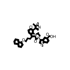 Cc1nn(C)c(C)c1-c1c(Cl)ccc2c(CCCOc3cccc4ccccc34)c3n(c12)C(C)CN(c1cn(C)c2ccc(C(=O)O)cc12)C3=O